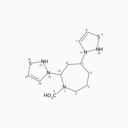 O=C(O)N1CCCC(N2C=CSN2)CC1N1C=CSN1